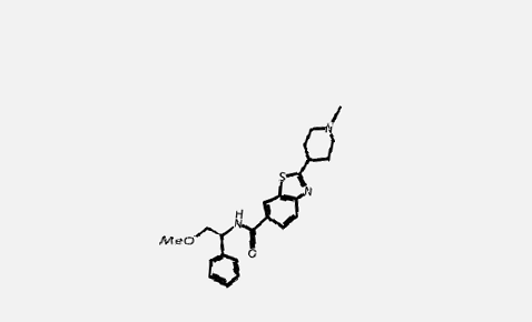 COC[C@@H](NC(=O)c1ccc2nc(C3CCN(C)CC3)sc2c1)c1ccccc1